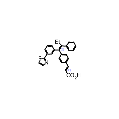 CC/C(=C(/c1ccc(/C=C/C(=O)O)cc1)c1cccc(-c2nccs2)c1)c1ccccc1